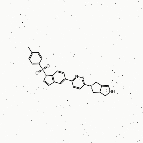 Cc1ccc(S(=O)(=O)n2ccc3cc(-c4ccc(N5CC6=CNCC6C5)nn4)ccc32)cc1